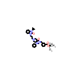 CC(C)(C)OC(=O)c1cccc(CN2CN(c3ccccc3)C3(CCN(CCCn4c(=O)n(C5CC5)c5ccccc54)CC3)C2=O)c1